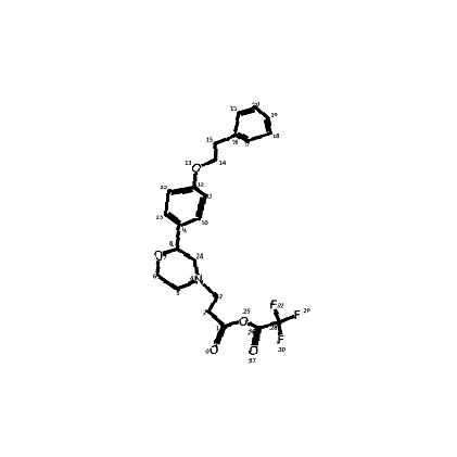 O=C(CCN1CCOC(c2ccc(OCCc3ccccc3)cc2)C1)OC(=O)C(F)(F)F